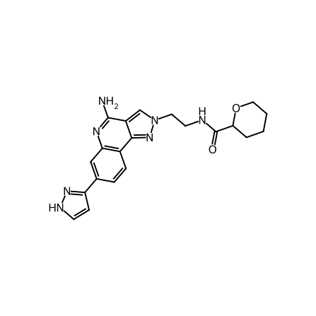 Nc1nc2cc(-c3cc[nH]n3)ccc2c2nn(CCNC(=O)C3CCCCO3)cc12